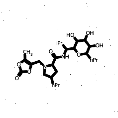 CCCC1CC(C(=O)NC(C(C)C)C2OC(CCC)C(O)C(O)C2O)N(Cc2oc(=O)oc2C)C1